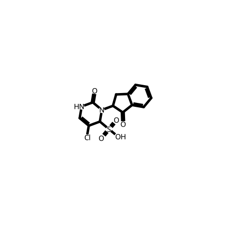 O=C1c2ccccc2CC1N1C(=O)NC=C(Cl)C1S(=O)(=O)O